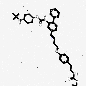 CC(C)(C)N[C@H]1CC[C@H](OC(=O)Nc2cc(/C=C/CCOc3ccc(CCNC(=O)OC(C)(C)C)cc3)ccc2-c2ccccc2)CC1